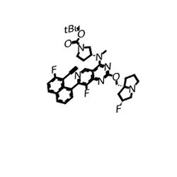 C#Cc1c(F)ccc2cccc(-c3ncc4c(N(C)[C@@H]5CCN(C(=O)OC(C)(C)C)C5)nc(OC[C@]56CCCN5C[C@H](F)C6)nc4c3F)c12